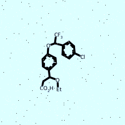 CCOC(CC(=O)O)c1ccc(OC(c2ccc(Cl)cc2)C(F)(F)F)cc1